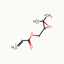 C=CC(=O)OCC1OC1(C)C